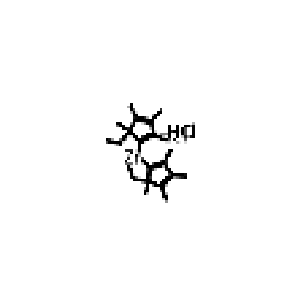 CCC1(C)C(C)=C(C)C(C)=[C]1[Zr][C]1=C(C)C(C)=C(C)C1(C)CC.Cl.Cl